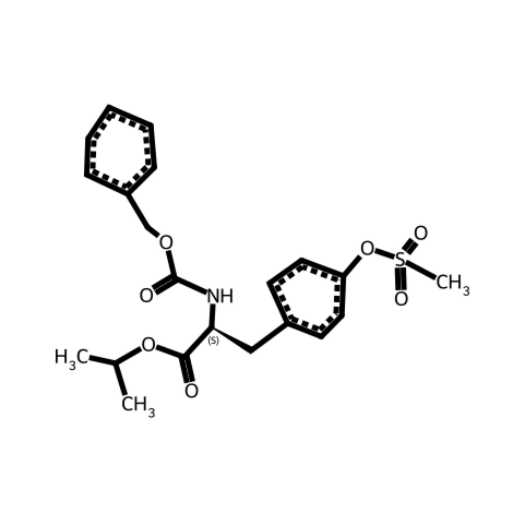 CC(C)OC(=O)[C@H](Cc1ccc(OS(C)(=O)=O)cc1)NC(=O)OCc1ccccc1